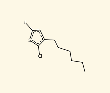 CCCCCCc1cc(I)sc1Cl